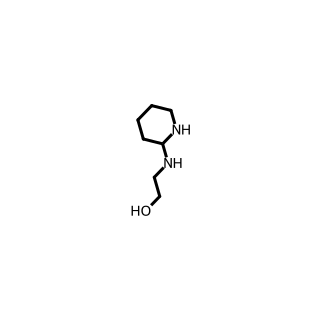 OCCNC1CCCCN1